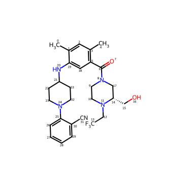 Cc1cc(C)c(C(=O)N2CCN(CC(F)(F)F)[C@@H](CO)C2)cc1NC1CCN(c2ccccc2C#N)CC1